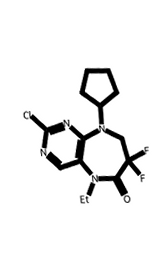 CCN1C(=O)C(F)(F)CN(C2CCCC2)c2nc(Cl)ncc21